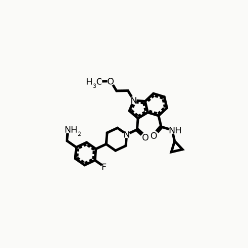 COCCn1cc(C(=O)N2CCC(c3cc(CN)ccc3F)CC2)c2c(C(=O)NC3CC3)cccc21